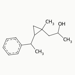 CC(O)CC1(C)CC1C(C)c1ccccc1